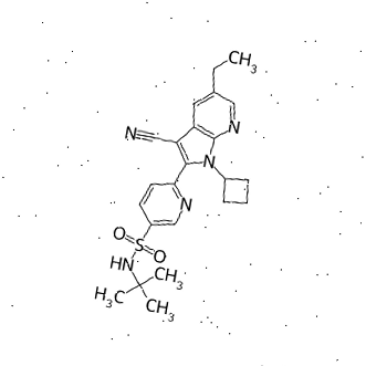 CCc1cnc2c(c1)c(C#N)c(-c1ccc(S(=O)(=O)NC(C)(C)C)cn1)n2C1CCC1